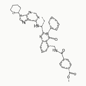 CCC(Nc1ncnc2c1ncn2C1CCCCO1)c1nc2cccc(CNC(=O)c3ccc(C(=O)OC)cc3)c2c(=O)n1-c1ccccc1